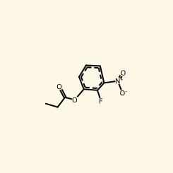 CCC(=O)Oc1cccc([N+](=O)[O-])c1F